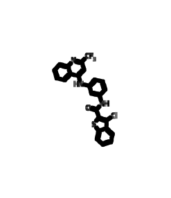 O=C(Nc1cccc(Nc2cc(C(F)(F)F)nc3ccccc23)c1)c1sc2ccccc2c1Cl